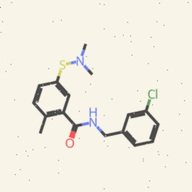 Cc1ccc(SN(C)C)cc1C(=O)NCc1cccc(Cl)c1